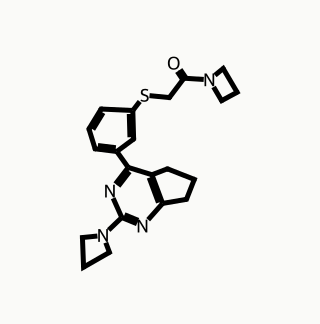 O=C(CSc1cccc(-c2nc(N3CCC3)nc3c2CCC3)c1)N1CCC1